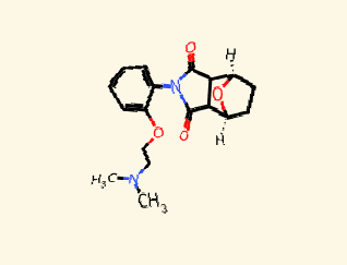 CN(C)CCOc1ccccc1N1C(=O)C2C(C1=O)[C@H]1CC[C@@H]2O1